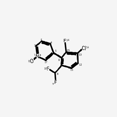 [O-][n+]1cccc(-c2c(C(F)F)ccc(Cl)c2F)c1